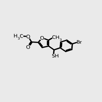 COC(=O)c1cc(C(S)c2ccc(Br)cc2)c(C)o1